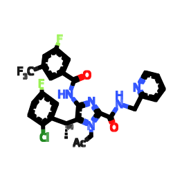 CC(=O)Cn1c(C(=O)NCc2ccccn2)nc(NC(=O)c2cc(F)cc(C(F)(F)F)c2)c1[C@H](C)c1cc(F)ccc1Cl